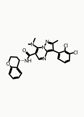 Cc1nn2c(N(C)C)c(C(=O)N[C@H]3CCOc4ccccc43)cnc2c1-c1cccc(Cl)c1Cl